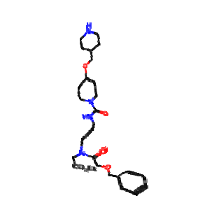 CCOC(=O)CN(CCNC(=O)N1CCC(OCC2CCNCC2)CC1)C(=O)COCc1ccccc1